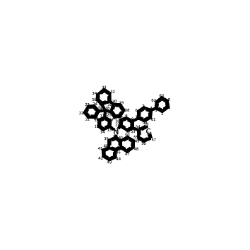 c1ccc(-c2ccc(-c3ccc(N(c4cccc(C5(c6ccccc6)c6ccccc6-c6ccccc65)c4)c4cc5ccccc5c5ccccc45)cc3-c3ccccc3)cc2)cc1